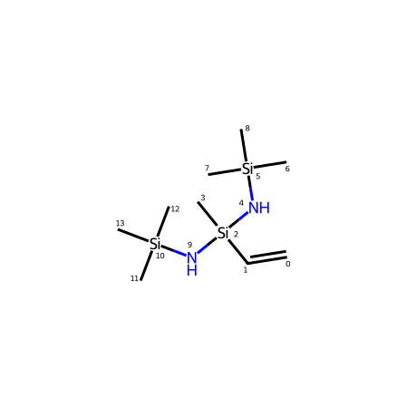 C=C[Si](C)(N[Si](C)(C)C)N[Si](C)(C)C